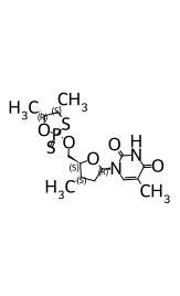 Cc1cn([C@H]2C[C@H](C)[C@@H](COP3(=S)O[C@H](C)[C@H](C)S3)O2)c(=O)[nH]c1=O